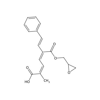 CC(=CC=C(C=Cc1ccccc1)C(=O)OCC1CO1)C(=O)O